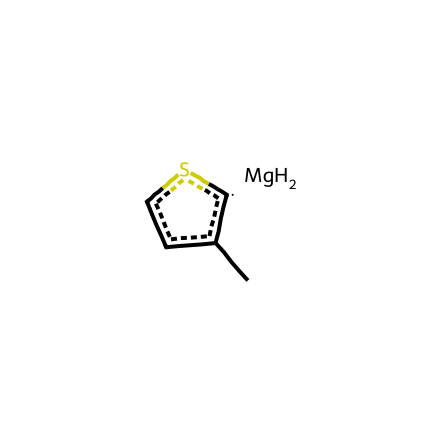 Cc1[c]scc1.[MgH2]